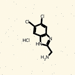 Cl.NCc1nc2cc(Cl)c(Cl)cc2[nH]1